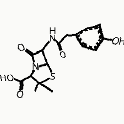 CC1(C)SC2C(NC(=O)Cc3ccc(O)cc3)C(=O)N2C1C(=O)O